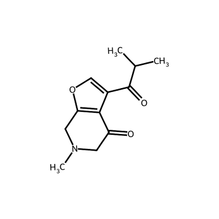 CC(C)C(=O)c1coc2c1C(=O)CN(C)C2